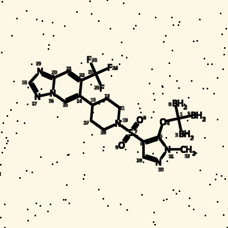 BC(B)(B)Oc1c(S(=O)(=O)N2CCC(c3cn4ncnc4cc3C(F)(F)F)CC2)cnn1C